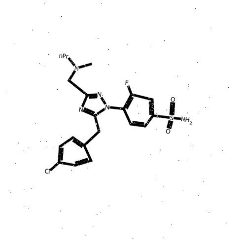 CCCN(C)Cc1nc(Cc2ccc(Cl)cc2)n(-c2ccc(S(N)(=O)=O)cc2F)n1